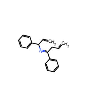 C=CCC(=NC(C=C)c1ccccc1)c1ccccc1